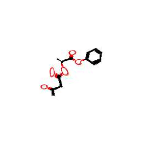 CC(=O)CC(=O)O[C@@H](C)C(=O)Oc1ccccc1